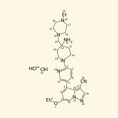 CCOc1cc(-c2ccc(N3CCC(N)(CN4CCN(CC)CC4)CC3)nc2)c2c(C#N)cnn2c1.Cl.Cl